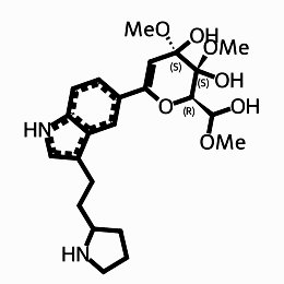 COC(O)[C@H]1OC(c2ccc3[nH]cc(CCC4CCCN4)c3c2)=C[C@](O)(OC)[C@@]1(O)OC